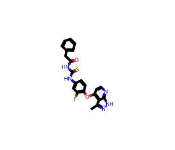 Cc1n[nH]c2nccc(Oc3ccc(NC(=S)NC(=O)Cc4ccccc4)cc3F)c12